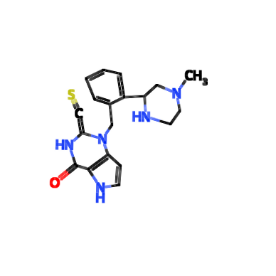 CN1CCNC(c2ccccc2CN2C(=C=S)NC(=O)c3[nH]ccc32)C1